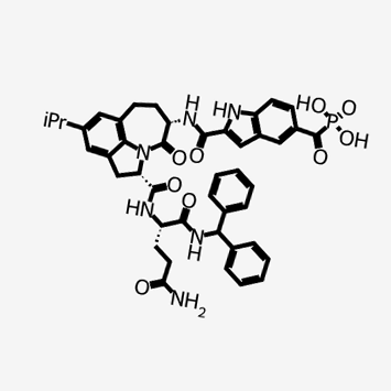 CC(C)c1cc2c3c(c1)C[C@@H](C(=O)N[C@@H](CCC(N)=O)C(=O)NC(c1ccccc1)c1ccccc1)N3C(=O)[C@@H](NC(=O)c1cc3cc(C(=O)P(=O)(O)O)ccc3[nH]1)CC2